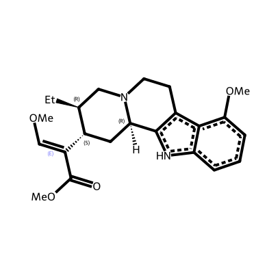 CC[C@H]1CN2CCc3c([nH]c4cccc(OC)c34)[C@H]2C[C@@H]1/C(=C\OC)C(=O)OC